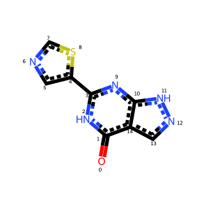 O=c1[nH]c(-c2cncs2)nc2[nH]ncc12